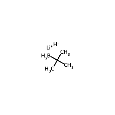 BC(C)(C)C.[H-].[Li+]